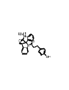 C=C1c2ccccc2N(C(=O)CCc2ccc(O)cc2)C1(C(=O)NC(C)(C)C)c1ccccn1